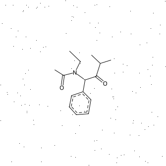 CCN(C(C)=O)C(C(=O)C(C)C)c1ccccc1